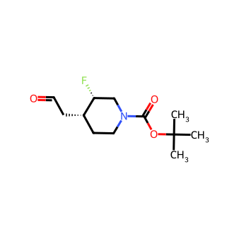 CC(C)(C)OC(=O)N1CC[C@H](CC=O)[C@H](F)C1